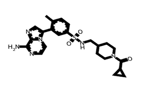 Cc1ccc(S(=O)(=O)NCC2CCN(C(=O)C3CC3)CC2)cc1-c1cnc2c(N)nccn12